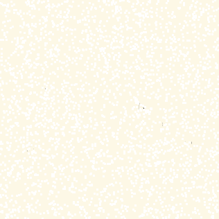 O=C=NC1CCC(=O)c2sccc21